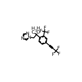 CC(O)(Cn1cncn1)c1ccc(C#CC(F)(F)F)cc1C(F)(F)F